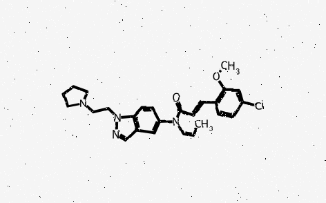 C/C=C\N(C(=O)/C=C/c1ccc(Cl)cc1OC)c1ccc2c(cnn2CCN2CCCC2)c1